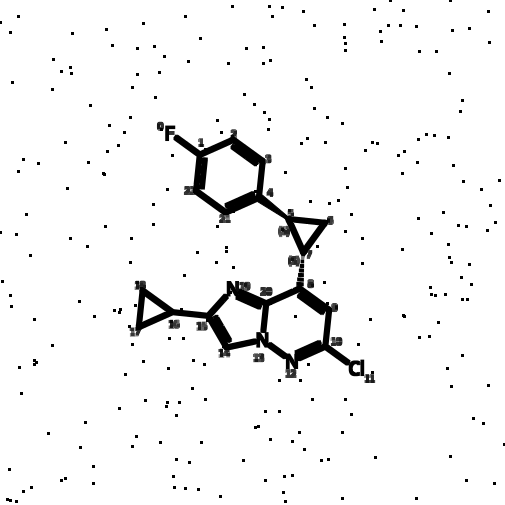 Fc1ccc([C@H]2C[C@@H]2c2cc(Cl)nn3cc(C4CC4)nc23)cc1